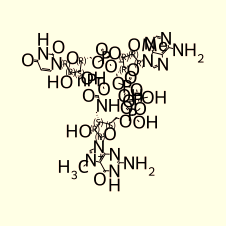 CCCOC(=O)NC[C@H]1[C@@H](O)[C@H](n2c[n+](C)c3c(=O)[nH]c(N)nc32)O[C@@H]1COP(=O)(O)OP(=O)(O)OP(=O)(O)OC[C@H]1O[C@@H](n2cnc3c(N)ncnc32)[C@H](OC)[C@@H]1OP(=O)([O-])OC[C@H]1O[C@@H](n2ccc(=O)[nH]c2=O)[C@H](O)[C@@H]1O